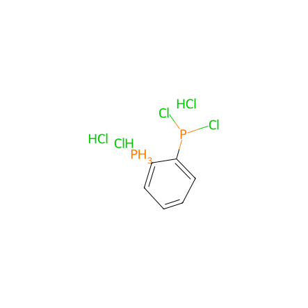 Cl.Cl.Cl.ClP(Cl)c1ccccc1.P